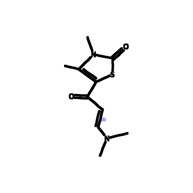 Cc1c(C(=O)/C=C/N(C)C)sc(=O)n1C